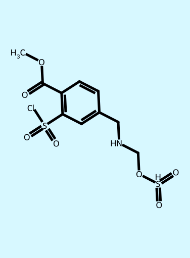 COC(=O)c1ccc(CNCO[SH](=O)=O)cc1S(=O)(=O)Cl